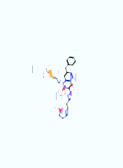 CS(=O)(=O)CCCn1c(=O)c(C(=O)NCCCN2CCCC2=O)c(O)c2ncc(Cc3ccc(F)cc3)cc21